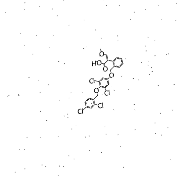 COC=C(C(=O)O)c1ccccc1COc1cc(Cl)c(OCc2ccc(Cl)cc2Cl)c(Cl)c1